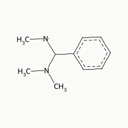 C[N]C(c1ccccc1)N(C)C